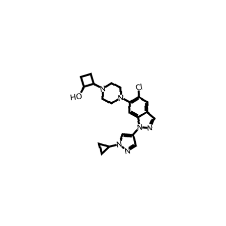 OC1CCC1N1CCN(c2cc3c(cnn3-c3cnn(C4CC4)c3)cc2Cl)CC1